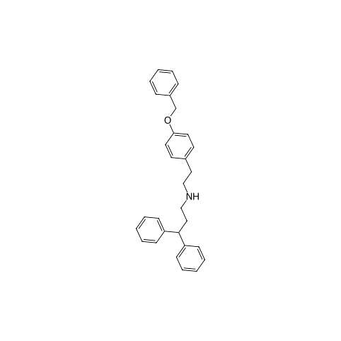 c1ccc(COc2ccc(CCNCCC(c3ccccc3)c3ccccc3)cc2)cc1